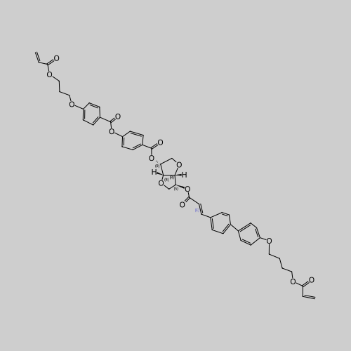 C=CC(=O)OCCCCOc1ccc(-c2ccc(/C=C/C(=O)O[C@H]3CO[C@H]4[C@@H]3OC[C@H]4OC(=O)c3ccc(OC(=O)c4ccc(OCCCOC(=O)C=C)cc4)cc3)cc2)cc1